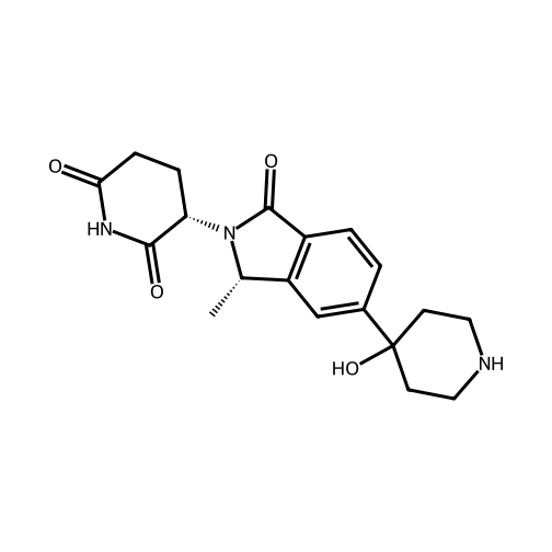 C[C@H]1c2cc(C3(O)CCNCC3)ccc2C(=O)N1[C@H]1CCC(=O)NC1=O